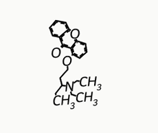 CCC(CCOc1cccc2oc3ccccc3c(=O)c12)N(CC)CC